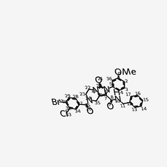 COc1cccc(-n2c(C(=O)NCc3ccccc3)c3n(c2=O)CCN(C(=O)c2ccc(Br)c(Cl)c2)C3)c1